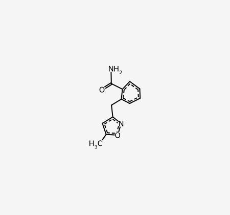 Cc1cc(Cc2ccccc2C(N)=O)no1